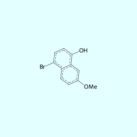 COc1ccc2c(Br)ccc(O)c2c1